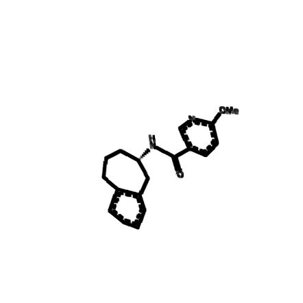 COc1ccc(C(=O)N[C@H]2CCCc3ccccc3C2)cn1